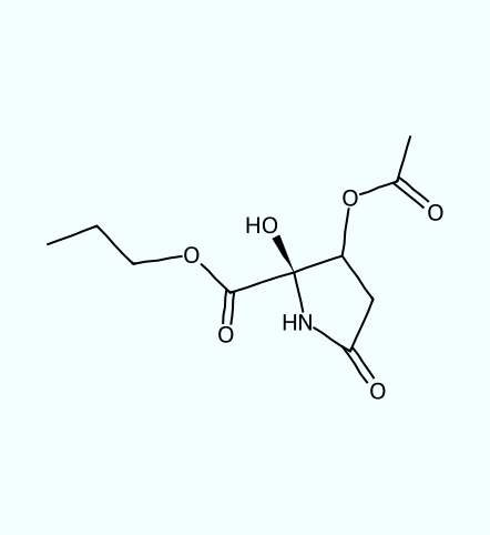 CCCOC(=O)[C@@]1(O)NC(=O)CC1OC(C)=O